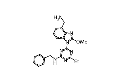 CCc1nc(NCc2ccccc2)nc(-n2c(OC)nc3c(CN)cccc32)n1